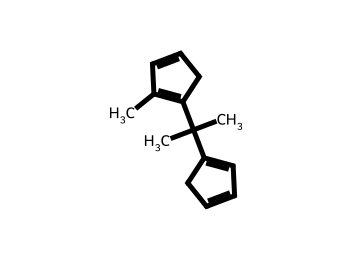 CC1=C(C(C)(C)C2=CC=CC2)CC=C1